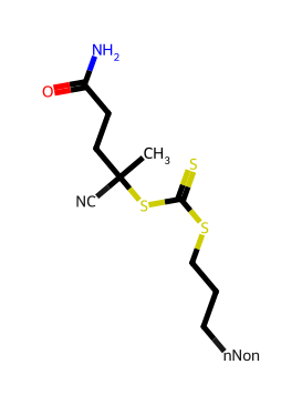 CCCCCCCCCCCCSC(=S)SC(C)(C#N)CCC(N)=O